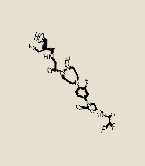 N=C/C(=C\O)CNCC(=O)N1CCN(c2ccc(N3C[C@H](CNC(=O)C(F)F)OC3=O)cc2F)CCN1